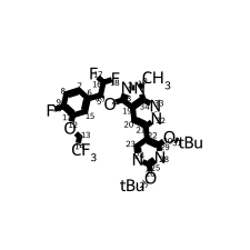 Cn1nc(O[C@H](c2ccc(F)c(OCC(F)(F)F)c2)C(F)F)c2cc(-c3cnc(OC(C)(C)C)nc3OC(C)(C)C)nnc21